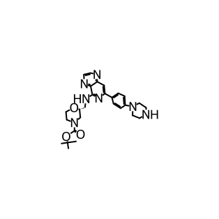 CC(C)(C)OC(=O)N1CCO[C@H](CNc2nc(-c3ccc(N4CCNCC4)cc3)cc3nccnc23)C1